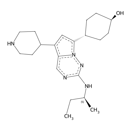 CC[C@H](C)Nc1ncc2c(C3CCNCC3)cc([C@H]3CC[C@H](O)CC3)n2n1